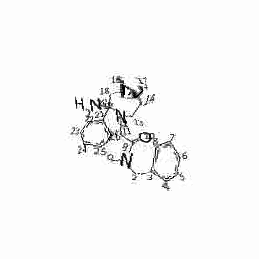 CN(Cc1ccccc1)C(=O)CN1CC[N+](C)(C)CC1(N)c1ccccc1